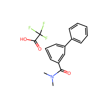 CN(C)C(=O)c1cccc(-c2ccccc2)c1.O=C(O)C(F)(F)F